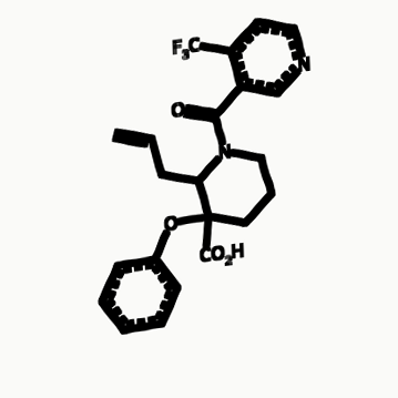 C=CCC1N(C(=O)c2cnccc2C(F)(F)F)CCCC1(Oc1ccccc1)C(=O)O